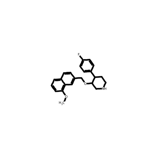 COc1cccc2ccc(COC3CNCCC3c3ccc(F)cc3)cc12